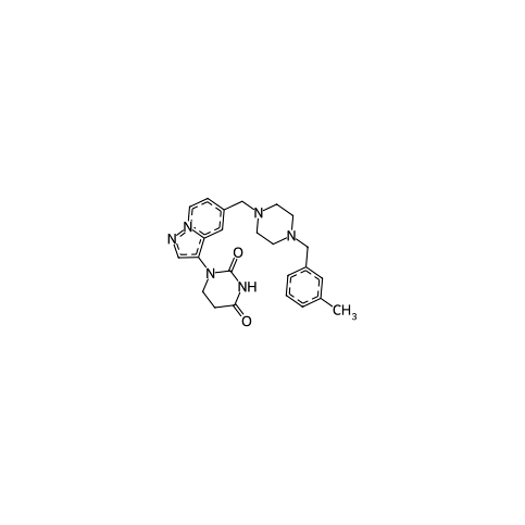 Cc1cccc(CN2CCN(Cc3ccn4ncc(N5CCC(=O)NC5=O)c4c3)CC2)c1